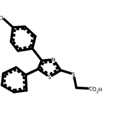 O=C(O)CSc1nc(-c2ccc(Cl)cc2)c(-c2ccccc2)s1